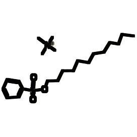 CCCCCCCCCCCCOS(=O)(=O)c1ccccc1.C[N+](C)(C)C